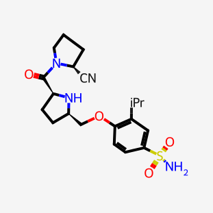 CC(C)c1cc(S(N)(=O)=O)ccc1OC[C@H]1CC[C@@H](C(=O)N2CCC[C@H]2C#N)N1